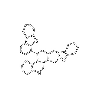 c1ccc2c(c1)ncc1c3cc4oc5ccccc5c4cc3cc(-c3cccc4c3sc3ccccc34)c21